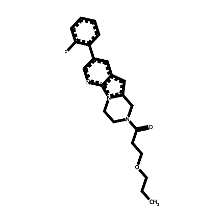 CCCOCCC(=O)N1CCn2c(cc3cc(-c4ccccc4F)cnc32)C1